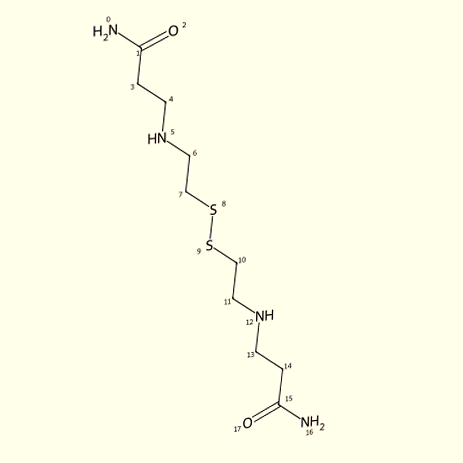 NC(=O)CCNCCSSCCNCCC(N)=O